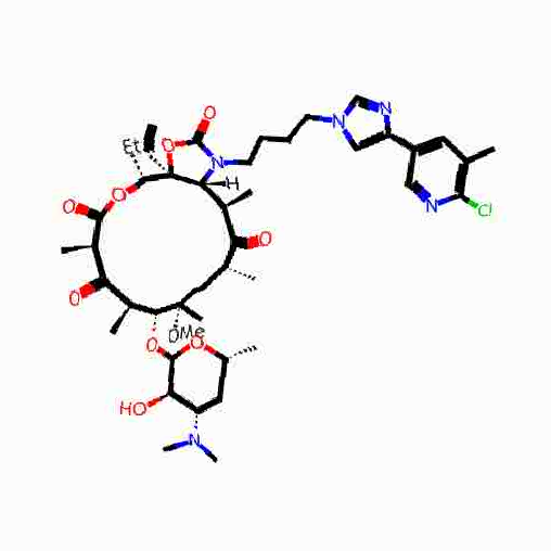 C=C[C@]12OC(=O)N(CCCCn3cnc(-c4cnc(Cl)c(C)c4)c3)[C@@H]1[C@@H](C)C(=O)[C@H](C)C[C@](C)(OC)[C@H](OC1O[C@H](C)C[C@H](N(C)C)[C@H]1O)[C@@H](C)C(=O)[C@@H](C)C(=O)O[C@@H]2CC